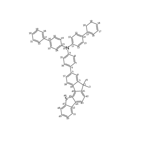 CC1(C)c2cc(-c3ccc(N(c4ccc(C5=CC=CCC5)cc4)c4ccc(-c5ccccc5)cc4)cc3)ccc2-c2c1ccc1c2sc2ccccc21